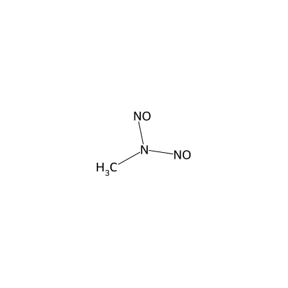 CN(N=O)N=O